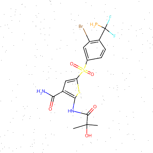 CC(C)(O)C(=O)Nc1sc(S(=O)(=O)c2ccc(C(F)(F)P)c(Br)c2)cc1C(N)=O